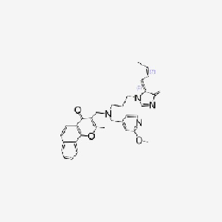 C=c1ncn(CCCN(Cc2ccnc(OC)c2)Cc2c(C)oc3c(ccc4ccccc43)c2=O)/c1=C/C=C\C